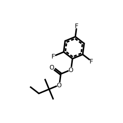 CCC(C)(C)OC(=O)Oc1c(F)cc(F)cc1F